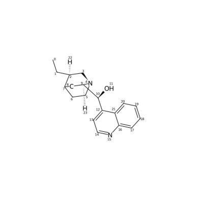 CC[C@H]1C[N@@]2CCC1C[C@@H]2[C@@H](O)c1ccnc2ccccc12